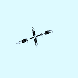 [C-]#[N+]S(=O)(=O)[N+]#[C-]